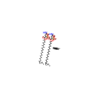 CCCCCCCCCCCCCCCCCCOC(=O)C(CC([NH-])=O)S(=O)(=O)[O-].CCCCCCCCCCCCCCCCCCOC(=O)C(CC([NH-])=O)S(=O)(=O)[O-].[Na+].[Na+].[Na+].[Na+]